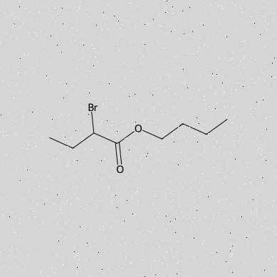 CCCCOC(=O)C(Br)CC